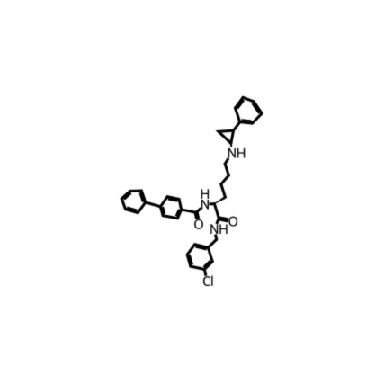 O=C(N[C@@H](CCCCN[C@@H]1CC1c1ccccc1)C(=O)NCc1cccc(Cl)c1)c1ccc(-c2ccccc2)cc1